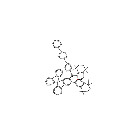 CC1(C)CCC(C)(C)c2cc(-c3cc4c(cc3N(c3ccc(-c5ccc(-c6ccccc6)cc5)cc3)c3cccc5c3C(C)(C)CCC5(C)C)C3(c5ccccc5-c5ccccc53)c3ccccc3-4)ccc21